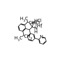 CC(C)c1cccc(C(C)C)c1C(C(=O)[NH][Hf])c1cccc(-c2ccccn2)c1.Cl.Cl